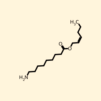 CCC/C=C\COC(=O)CCCCCCCCN